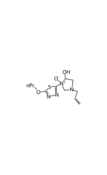 C=CCN1CC(O)[N+]([O-])(c2nnc(OCCC)s2)C1